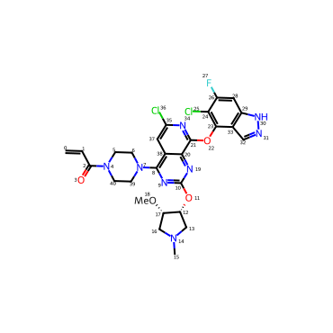 C=CC(=O)N1CCN(c2nc(O[C@@H]3CN(C)C[C@@H]3OC)nc3c(Oc4c(Cl)c(F)cc5[nH]ncc45)nc(Cl)cc23)CC1